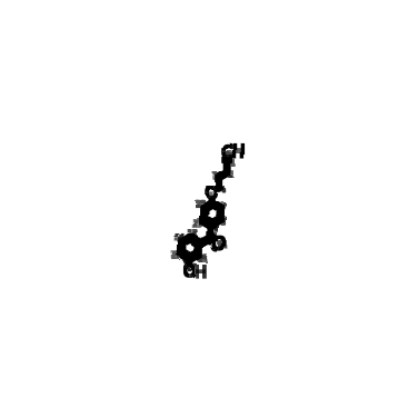 C#CCCCOc1ccc(C(=O)c2cccc(O)c2)cc1